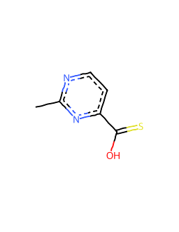 Cc1nccc(C(O)=S)n1